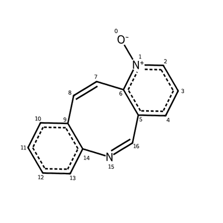 [O-][n+]1cccc2c1C=Cc1ccccc1N=C2